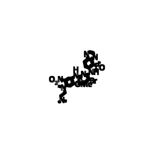 COc1cc(N(C)CCN(C)C)c([N+](=O)[O-])cc1Nc1ncc(Br)c(Nc2ccc3nccnc3c2P(C)(C)=O)n1